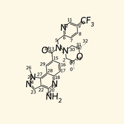 C[C@@H]1CN(N(Cc2ccc(C(F)(F)F)cn2)C(=O)c2ccc3nc(N)c4cnn(C)c4c3c2)C[C@H](C)O1